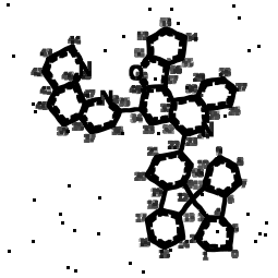 c1ccc2c(c1)-c1ccccc1C21c2ccccc2-c2ccc(-c3nc4ccccc4c4c3cc(-c3ccc5ccc6cccnc6c5n3)c3oc5ccccc5c34)cc21